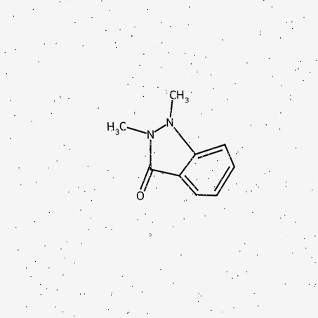 Cn1c(=O)c2ccccc2n1C